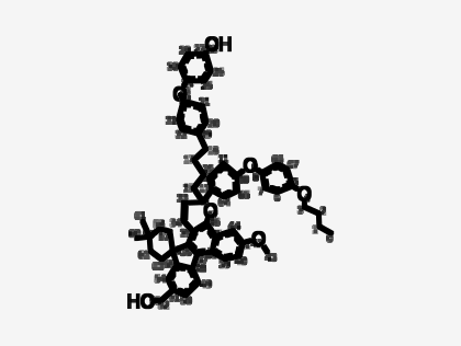 CCCCOc1ccc(Oc2ccc(C3(CCCCc4ccc(Oc5ccc(O)cc5)cc4)C=Cc4c5c(c6ccc(OC)cc6c4O3)-c3ccc(CO)cc3C53CCC(C)(C)CC3)cc2)cc1